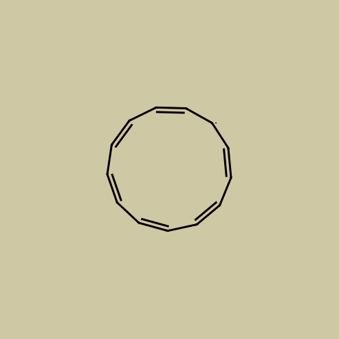 [CH]1C=CC=CC=CC=CC=CC=C1